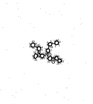 c1ccc(-c2cccc(-c3ccc(N(c4ccc5oc6c7ccccc7ccc6c5c4)c4ccc5c6ccccc6n(-c6cccc(-c7ccccc7)c6)c5c4)cc3)c2)cc1